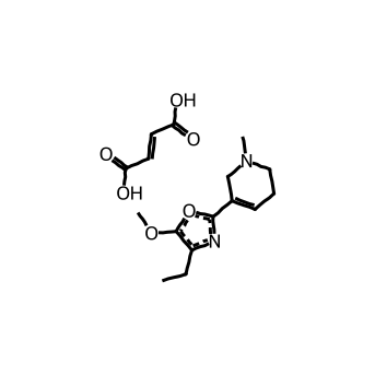 CCc1nc(C2=CCCN(C)C2)oc1OC.O=C(O)C=CC(=O)O